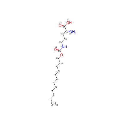 CCCCCCCCCCCCOC(=O)NCCC[C@H](N)C(=O)O